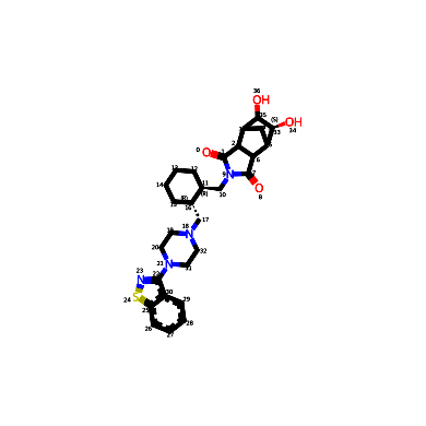 O=C1C2C3CC(C2C(=O)N1C[C@@H]1CCCC[C@H]1CN1CCN(c2nsc4ccccc24)CC1)[C@H](O)C3O